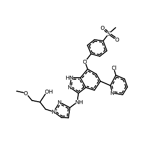 COCC(O)Cn1ccc(Nc2n[nH]c3c(Oc4ccc(S(C)(=O)=O)cc4)cc(-c4ncccc4Cl)cc23)n1